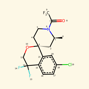 C[C@H]1C[C@@]2(CCN1C(=O)C(F)(F)F)OCC(F)(F)c1ccc(Cl)cc12